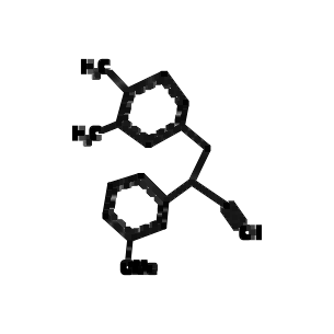 C#CC(Cc1ccc(C)c(C)c1)c1cccc(OC)c1